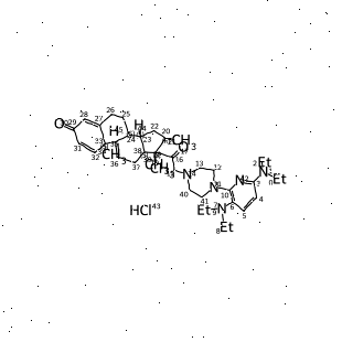 CCN(CC)c1ccc(N(CC)CC)c(N2CCN(CC(=O)[C@@]3(C)[C@H](C)C[C@H]4[C@@H]5CCC6=CC(=O)C=C[C@]6(C)C5=CC[C@@]43C)CC2)n1.Cl